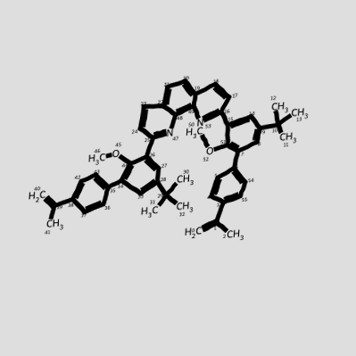 C=C(C)c1ccc(-c2cc(C(C)(C)C)cc(-c3ccc4ccc5ccc(-c6cc(C(C)(C)C)cc(-c7ccc(C(=C)C)cc7)c6OC)nc5c4n3)c2OC)cc1